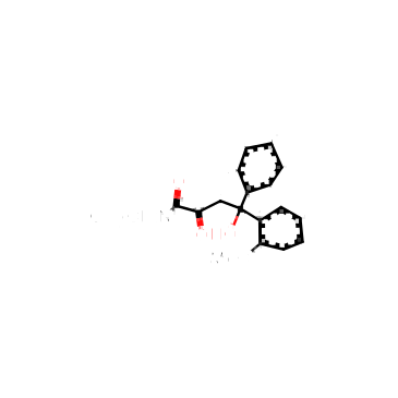 COc1ccccc1C(O)(CC(=O)C(=O)N(C)O)c1ccccc1